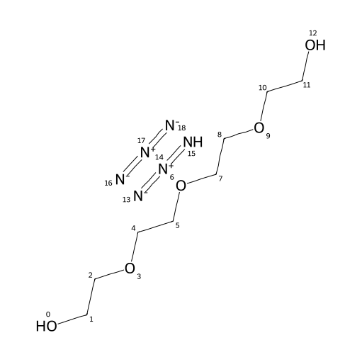 OCCOCCOCCOCCO.[N-]=[N+]=N.[N-]=[N+]=[N-]